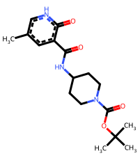 Cc1c[nH]c(=O)c(C(=O)NC2CCN(C(=O)OC(C)(C)C)CC2)c1